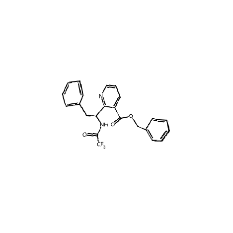 O=C(OCc1ccccc1)c1cccnc1[C@H](Cc1ccccc1)NC(=O)C(F)(F)F